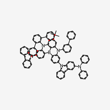 CC(C)(C)c1cc2c3c(c1)N(c1c(-c4ccccc4)cccc1-c1ccccc1)c1cc(-n4c5ccccc5c5ccccc54)ccc1B3c1ccc(-n3c4ccccc4c4cc(N(c5ccccc5)c5ccccc5)ccc43)cc1N2c1cccc(-c2ccccc2)c1